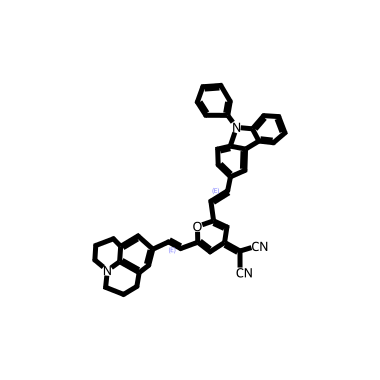 N#CC(C#N)=C1C=C(/C=C/c2cc3c4c(c2)CCCN4CCC3)OC(/C=C/c2ccc3c(c2)c2ccccc2n3-c2ccccc2)=C1